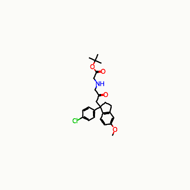 COc1ccc2c(c1)CCC2(CC(=O)CNCC(=O)OC(C)(C)C)c1ccc(Cl)cc1